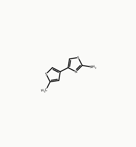 Cc1cc(-c2csc(N)n2)cs1